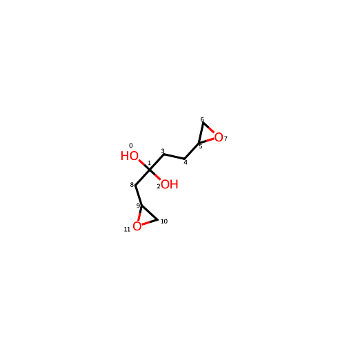 OC(O)(CCC1CO1)CC1CO1